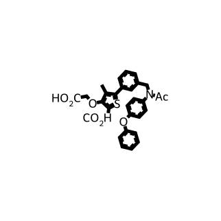 CC(=O)N(Cc1cccc(-c2sc(C(=O)O)c(OCC(=O)O)c2C)c1)c1ccc(Oc2ccccc2)cc1